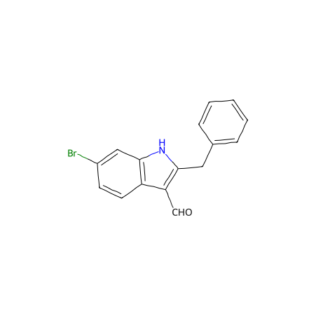 O=Cc1c(Cc2ccccc2)[nH]c2cc(Br)ccc12